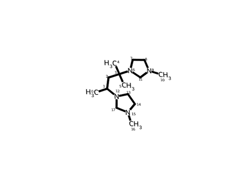 CC(CC(C)(C)N1CCN(C)C1)N1CCN(C)C1